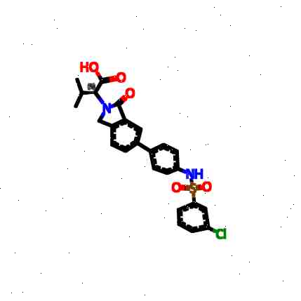 CC(C)[C@@H](C(=O)O)N1Cc2ccc(-c3ccc(NS(=O)(=O)c4cccc(Cl)c4)cc3)cc2C1=O